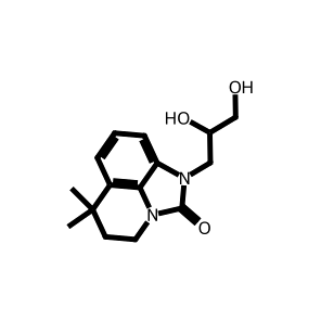 CC1(C)CCn2c(=O)n(CC(O)CO)c3cccc1c32